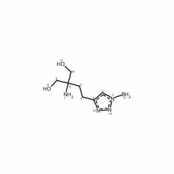 Bn1cc(CCC(N)(CO)CO)nn1